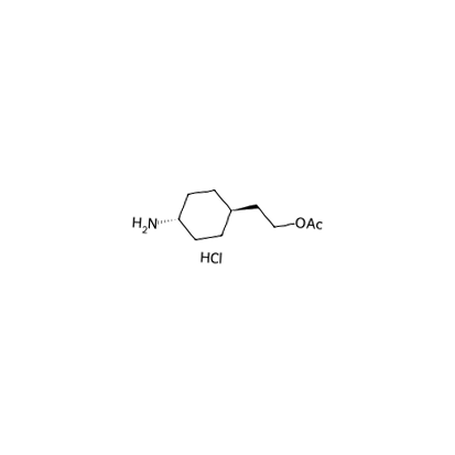 CC(=O)OCC[C@H]1CC[C@H](N)CC1.Cl